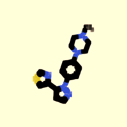 CN1CCN(c2ccc(-n3nccc3-c3cscn3)cc2)CC1